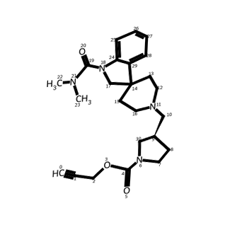 C#CCOC(=O)N1CC[C@H](CN2CCC3(CC2)CN(C(=O)N(C)C)c2ccccc23)C1